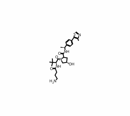 Cc1ncsc1-c1ccc([C@H](C)NC(=O)C2C[C@@H](O)CN2C(=O)[C@@H](NC(=O)CCCN)C(C)(C)C)cc1